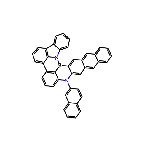 c1cc2c3c(c1)N(c1ccc4ccccc4c1)c1cc4cc5ccccc5cc4cc1B3n1c3ccccc3c3cccc-2c31